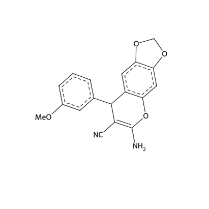 COc1cccc(C2C(C#N)=C(N)Oc3cc4c(cc32)OCO4)c1